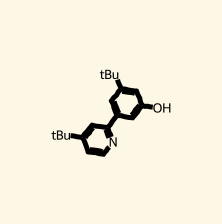 CC(C)(C)c1cc(O)cc(-c2cc(C(C)(C)C)ccn2)c1